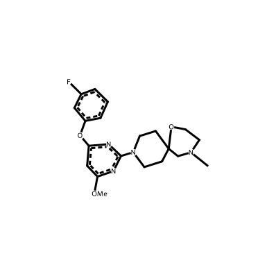 COc1cc(Oc2cccc(F)c2)nc(N2CCC3(CC2)CN(C)CCO3)n1